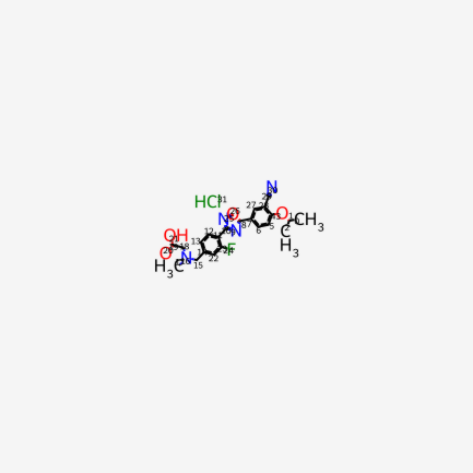 CC(C)Oc1ccc(-c2nc(-c3ccc(CN(C)CC(=O)O)cc3F)no2)cc1C#N.Cl